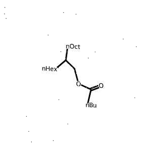 CCCCCCCCC(CCCCCC)COC(=O)CCCC